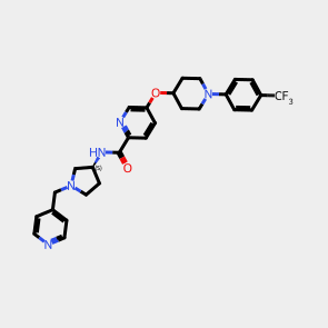 O=C(N[C@H]1CCN(Cc2ccncc2)C1)c1ccc(OC2CCN(c3ccc(C(F)(F)F)cc3)CC2)cn1